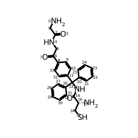 NCC(=O)NCC(=O)c1ccc(C(NC(=O)[C@H](N)CS)(c2ccccc2)c2ccccc2)cc1